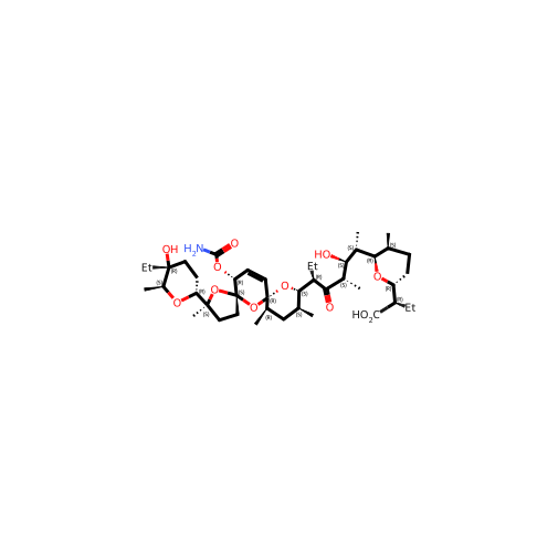 CC[C@@H](C(=O)[C@@H](C)[C@@H](O)[C@H](C)[C@@H]1O[C@@H]([C@@H](CC)C(=O)O)CC[C@@H]1C)[C@H]1O[C@]2(C=C[C@@H](OC(N)=O)[C@]3(CC[C@@](C)([C@H]4CC[C@](O)(CC)[C@H](C)O4)O3)O2)[C@H](C)C[C@@H]1C